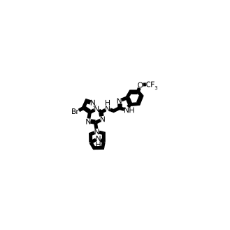 FC(F)(F)Oc1ccc2[nH]c(CNc3nc(N4CC5CCC(C4)N5)nc4c(Br)cnn34)nc2c1